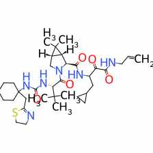 C=CCNC(=O)C(=O)C(CC1CC1)NC(=O)[C@@H]1[C@@H]2[C@H](CN1C(=O)[C@@H](NC(=O)NC1(CC3=NCCS3)CCCCC1)C(C)(C)C)C2(C)C